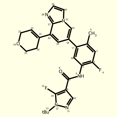 Cc1cc(F)c(NC(=O)c2cnn(C(C)(C)C)c2F)cc1-c1cc(C2=CCOCC2)c2nccn2c1